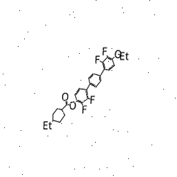 CCOc1ccc(-c2ccc(-c3ccc(OC(=O)C4CCC(CC)CC4)c(F)c3F)cc2)c(F)c1F